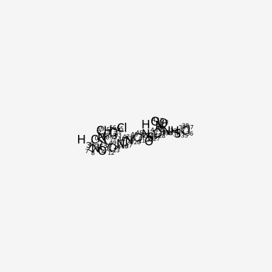 Cc1c(C(=O)N2CCC2)c(-c2cccc(N3CCN(c4ccc(N[S+]([O-])c5ccc(NCCSc6ccccc6)c([N+](=O)[O-])c5)cc4)CC3)c2)c(-c2ccc(Cl)cc2)n1C